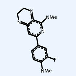 CNc1ccc(-c2cc3c(c(NC)n2)=NCCN=3)cc1F